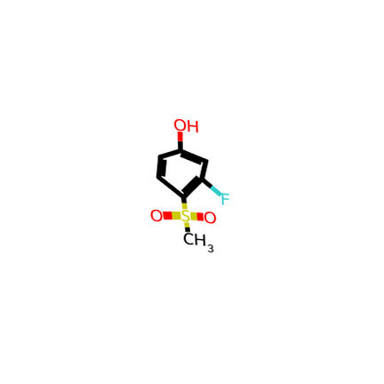 CS(=O)(=O)c1ccc(O)cc1F